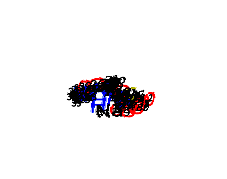 CC(=O)OCC1=C(C(=O)[O-])N2C(=O)C(NC(=O)Cc3ccccc3NC(=O)N3CCN(n4c(C)ccc4C)C3=O)[C@H]2SC1.[Na+]